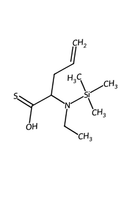 C=CCC(C(O)=S)N(CC)[Si](C)(C)C